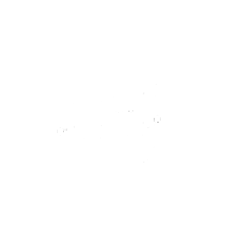 CC(C)(C)c1ccc2c3cccc4c(=O)ccc(c43)c3c4ccccc4c(=O)c1c23